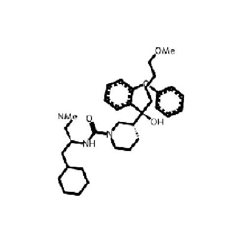 CNC[C@H](CC1CCCCC1)NC(=O)N1CCC[C@@H]([C@@](O)(CCCCOC)c2ccccc2Oc2ccccc2)C1